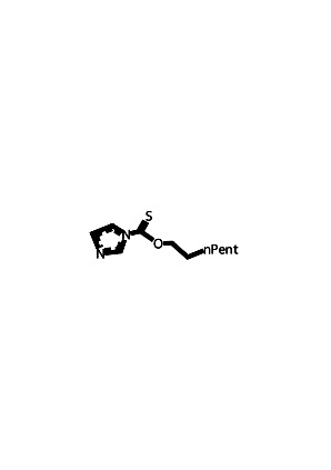 CCCCCCCOC(=S)n1ccnc1